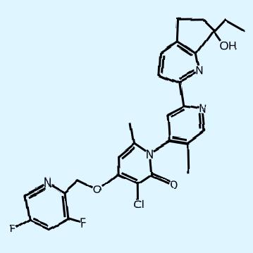 CCC1(O)CCc2ccc(-c3cc(-n4c(C)cc(OCc5ncc(F)cc5F)c(Cl)c4=O)c(C)cn3)nc21